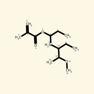 C=C(C)C(=O)OC(CC)[SiH2]C(CC)C(C)OC